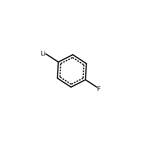 [Li][c]1ccc(F)cc1